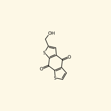 O=C1c2ccsc2C(=O)c2sc(CO)cc21